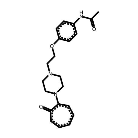 CC(=O)Nc1ccc(OCCN2CCN(c3cccccc3=O)CC2)cc1